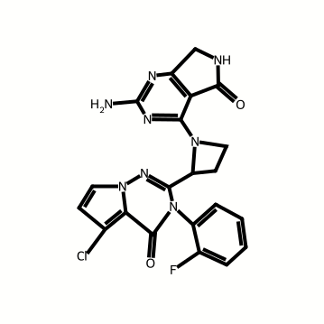 Nc1nc2c(c(N3CCC3c3nn4ccc(Cl)c4c(=O)n3-c3ccccc3F)n1)C(=O)NC2